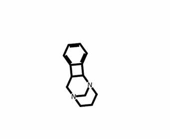 c1ccc2c(c1)C1CN3CCCN(C3)C21